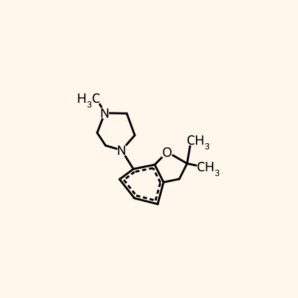 CN1CCN(c2cccc3c2OC(C)(C)C3)CC1